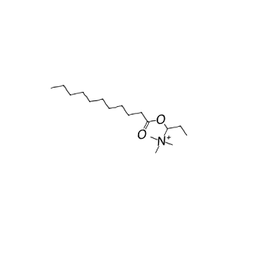 CCCCCCCCCCC(=O)OC(CC)[N+](C)(C)C